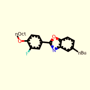 CCCCCCCCOc1ccc(-c2nc3cc(CCCC)ccc3o2)cc1F